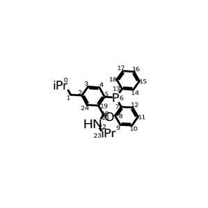 CC(C)Cc1ccc(P(c2ccccc2)c2ccccc2)c(C(=O)NC(C)C)c1